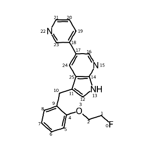 FCCOc1ccccc1Cc1c[nH]c2ncc(-c3cccnc3)cc12